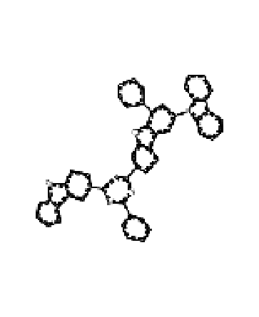 c1ccc(-c2nc(-c3ccc4c(c3)oc3c(-c5ccccc5)cc(-n5c6ccccc6c6ccccc65)cc34)nc(-c3ccc4oc5ccccc5c4c3)n2)cc1